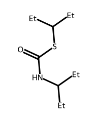 CCC(CC)NC(=O)SC(CC)CC